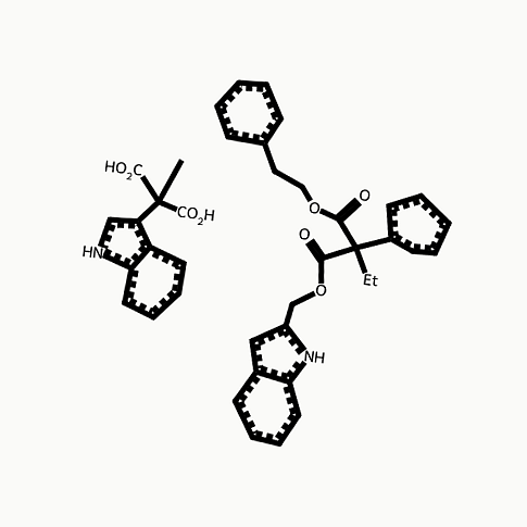 CC(C(=O)O)(C(=O)O)c1c[nH]c2ccccc12.CCC(C(=O)OCCc1ccccc1)(C(=O)OCc1cc2ccccc2[nH]1)c1ccccc1